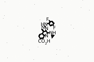 O=C(O)c1ccc2c(c1)nc(NC1CC1)c1nc(Nc3cc(F)ccc3F)ncc12